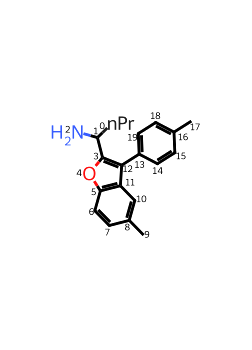 CCCC(N)c1oc2ccc(C)cc2c1-c1ccc(C)cc1